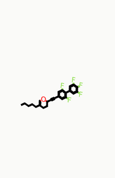 CCCCCC1=COC(C#Cc2cc(F)c(-c3cc(F)c(F)c(F)c3)c(F)c2)CC1